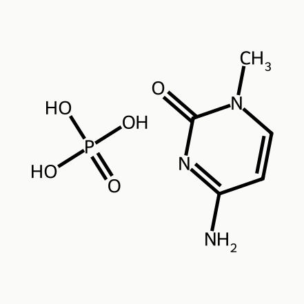 Cn1ccc(N)nc1=O.O=P(O)(O)O